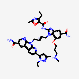 CCc1nc(C)oc1C(=O)Nc1nc2cc(C(N)=O)cc(OCCCNC)c2n1C/C=C/Cn1c2ncc(C(N)=O)cc2c2ccc(-c3cc(C)nn3CC)nc21